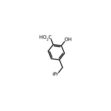 C[C](C)Cc1ccc(C(=O)O)c(O)c1